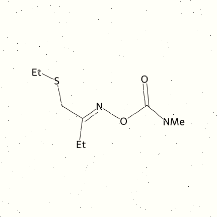 CCSCC(CC)=NOC(=O)NC